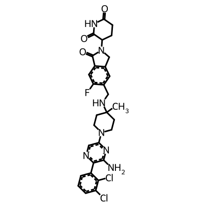 CC1(NCc2cc3c(cc2F)C(=O)N(C2CCC(=O)NC2=O)C3)CCN(c2cnc(-c3cccc(Cl)c3Cl)c(N)n2)CC1